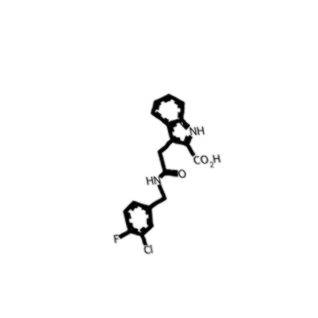 O=C(Cc1c(C(=O)O)[nH]c2ccccc12)NCc1ccc(F)c(Cl)c1